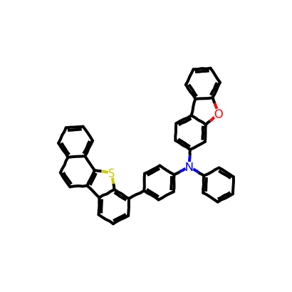 c1ccc(N(c2ccc(-c3cccc4c3sc3c5ccccc5ccc43)cc2)c2ccc3c(c2)oc2ccccc23)cc1